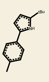 Cc1ccc(-c2ccc(C(C)(C)C)[nH]2)cc1